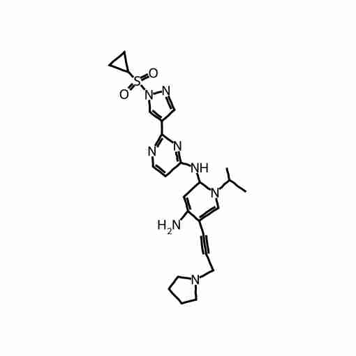 CC(C)N1C=C(C#CCN2CCCC2)C(N)=CC1Nc1ccnc(-c2cnn(S(=O)(=O)C3CC3)c2)n1